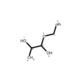 CCCCOC(O)C(C)O